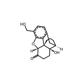 O=C1CC[C@@]2(O)[C@@H]3CCC[C@@]24c2c(ccc(CO)c2O[C@@H]14)C3